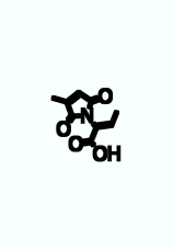 C/C=C(/C(=O)O)N1C(=O)C=C(C)C1=O